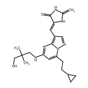 C=c1[nH]c(=O)/c(=C/c2cnn3c(CCC4CC4)cc(NCC(C)(C)CO)nc23)[nH]1